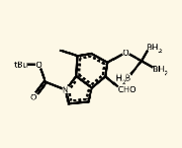 BC(B)(B)Oc1cc(C)c2c(ccn2C(=O)OC(C)(C)C)c1C=O